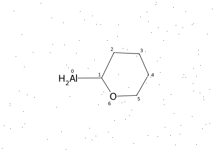 [AlH2][CH]1CCCCO1